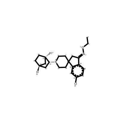 CCO/N=C1\CC2(CCN([C@@H]3C[C@@H]4CC[C@@H]3C4)CC2)c2cc(Cl)ccc21